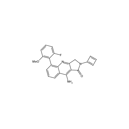 COc1cccc(F)c1-c1cccc2c(N)c3c(nc12)CN(C1=CC=C1)C3=O